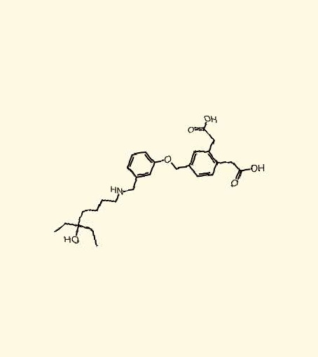 CCC(O)(CC)CCCCNCc1cccc(OCc2ccc(CC(=O)O)c(CC(=O)O)c2)c1